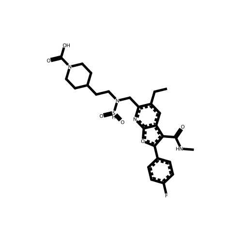 CCc1cc2c(C(=O)NC)c(-c3ccc(F)cc3)oc2nc1CN(CCC1CCN(C(=O)O)CC1)[SH](=O)=O